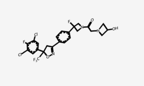 O=C(CN1CC(O)C1)N1CC(F)(c2ccc(C3=NOC(c4cc(Cl)c(F)c(Cl)c4)(C(F)(F)F)C3)cc2)C1